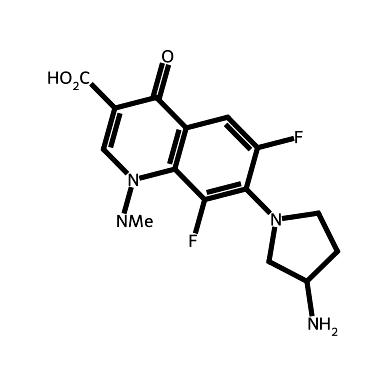 CNn1cc(C(=O)O)c(=O)c2cc(F)c(N3CCC(N)C3)c(F)c21